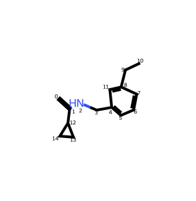 C=C(NCc1cccc(CC)c1)C1CC1